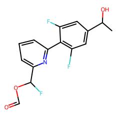 CC(O)c1cc(F)c(-c2cccc(C(F)OC=O)n2)c(F)c1